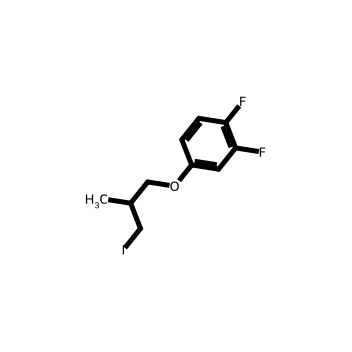 C[C](CI)COc1ccc(F)c(F)c1